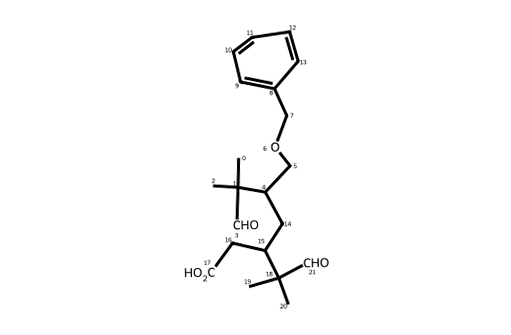 CC(C)(C=O)C(COCc1ccccc1)CC(CC(=O)O)C(C)(C)C=O